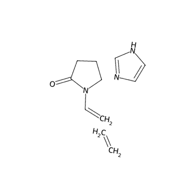 C=C.C=CN1CCCC1=O.c1c[nH]cn1